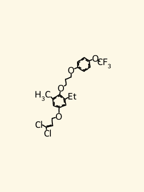 CCc1cc(OCC=C(Cl)Cl)cc(C)c1OCCCOc1ccc(OC(F)(F)F)cc1